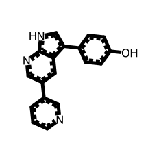 Oc1ccc(-c2c[nH]c3ncc(-c4cccnc4)cc23)cc1